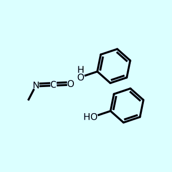 CN=C=O.Oc1ccccc1.Oc1ccccc1